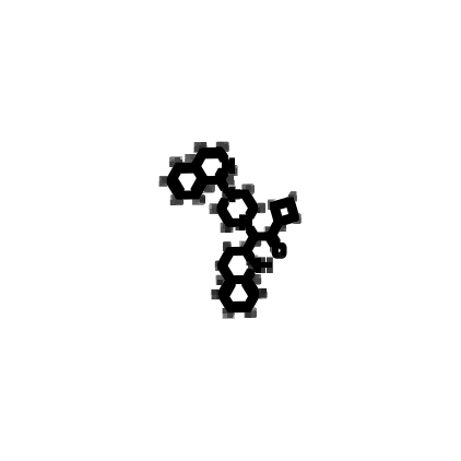 O=C(C1CCC1)C(C1CCc2ccccc2N1)N1CCN(c2nccc3ccccc23)CC1